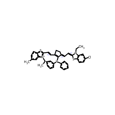 CCN1/C(=C/C=C2\CCC(/C=C/c3sc4ccc(C)cc4[n+]3CC)=C2N(c2ccccc2)c2ccccc2)Sc2ccc(Cl)cc21